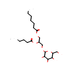 CCCCCCCCCCCCCCCC(=O)OCC(COC1OC(CO)C(O)C(O)C1O)OC(=O)CCCCCCCCCCCCC